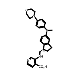 CN(c1ccc(N2CCOCC2)cc1)c1ccc2c(c1)CC[C@H]2CNc1cnccc1C(=O)O